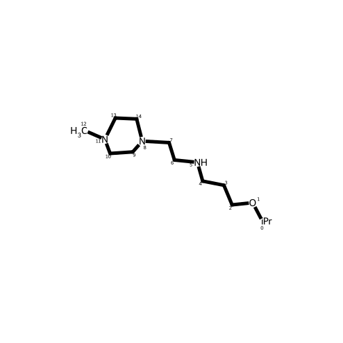 CC(C)OCCCNCCN1CCN(C)CC1